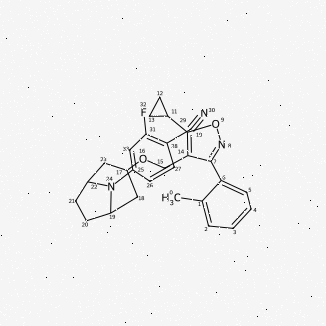 Cc1ccccc1-c1noc(C2CC2)c1COC1CC2CCC(C1)N2c1ccc(C#N)c(F)c1